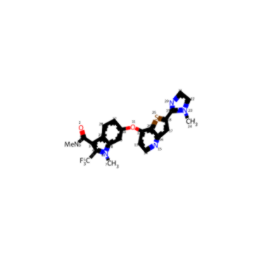 CNC(=O)c1c(C(F)(F)F)n(C)c2cc(Oc3ccnc4cc(-c5nccn5C)sc34)ccc12